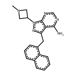 CN1CC(n2nc(Cc3cccc4ccccc34)c3c(N)ncnc32)C1